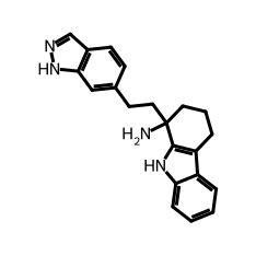 NC1(CCc2ccc3cn[nH]c3c2)CCCc2c1[nH]c1ccccc21